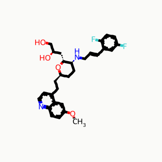 COc1ccc2nccc(CC[C@@H]3CC[C@@H](NCC=Cc4cc(F)ccc4F)[C@@H](C[C@@H](O)CO)O3)c2c1